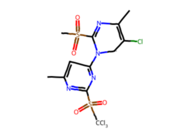 CC1=C(Cl)[CH]N(c2cc(C)nc(S(=O)(=O)C(Cl)(Cl)Cl)n2)C(S(C)(=O)=O)=N1